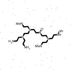 CCCNCCN(CCNC)CCN(Cl)CCN(CCNC)CCN(CCN)CCN